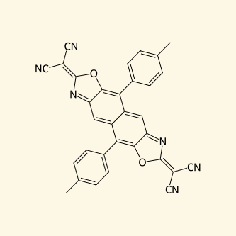 Cc1ccc(-c2c3cc4nc(=C(C#N)C#N)oc4c(-c4ccc(C)cc4)c3cc3nc(=C(C#N)C#N)oc23)cc1